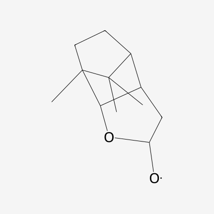 CC1(C)C2CCC1(C)C1OC([O])CC21